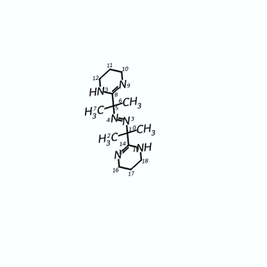 CC(C)(/N=N/C(C)(C)C1=NCCCN1)C1=NCCCN1